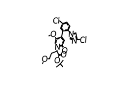 COCCC(C(=O)OC(C)(C)C)n1cc(OC)c(-c2cc(Cl)ccc2-n2cnc(Cl)c2)cc1=O